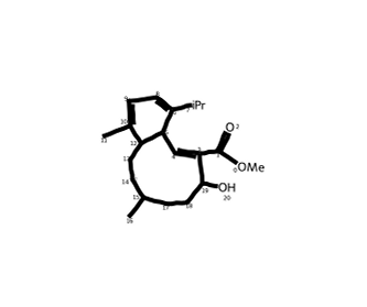 COC(=O)/C1=C\C2C(C(C)C)=CC=C(C)C2C[C]C(C)CCC1O